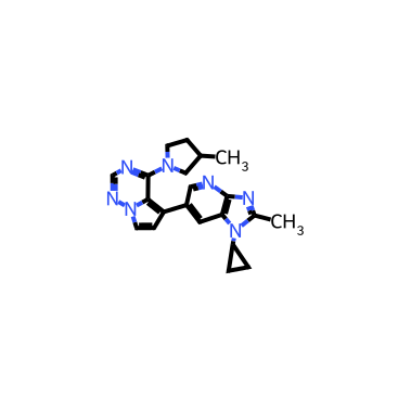 Cc1nc2ncc(-c3ccn4ncnc(N5CCC(C)C5)c34)cc2n1C1CC1